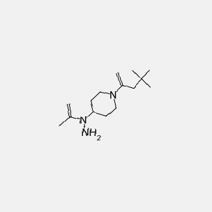 C=C(CC(C)(C)C)N1CCC(N(N)C(=C)C)CC1